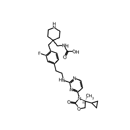 C[C@]1(C2CC2)COC(=O)N1c1ccnc(NCCc2ccc(CC3(CNC(=O)O)CCNCC3)c(F)c2)n1